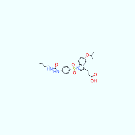 CCCCNC(=O)Nc1ccc(S(=O)(=O)n2cc(CCC(=O)O)c3cc(OC(C)C)ccc32)cc1